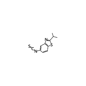 CC(C)c1nc2cc(N=C=S)ccc2s1